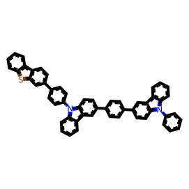 c1ccc(-n2c3ccccc3c3cc(-c4ccc(-c5ccc6c(c5)c5ccccc5n6-c5ccc(-c6ccc7c(c6)sc6ccccc67)cc5)cc4)ccc32)cc1